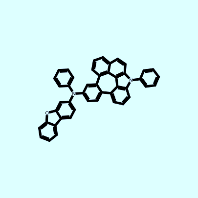 c1ccc(N(c2ccc3c(c2)-c2cccc4ccc5c(c24)c2c-3cccc2n5-c2ccccc2)c2ccc3c(c2)oc2ccccc23)cc1